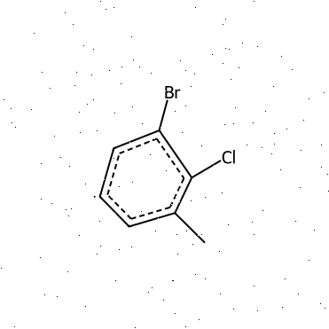 Cc1c[c]cc(Br)c1Cl